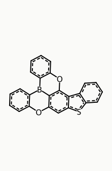 c1ccc2c(c1)Oc1cc3sc4ccccc4c3c3c1B2c1ccccc1O3